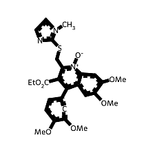 CCOC(=O)c1c(-c2ccc(OC)c(OC)c2)c2cc(OC)c(OC)cc2[n+]([O-])c1CSc1nccn1C